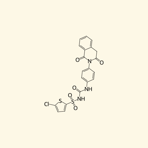 O=C(Nc1ccc(N2C(=O)Cc3ccccc3C2=O)cc1)NS(=O)(=O)c1ccc(Cl)s1